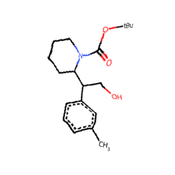 Cc1cccc(C(CO)C2CCCCN2C(=O)OC(C)(C)C)c1